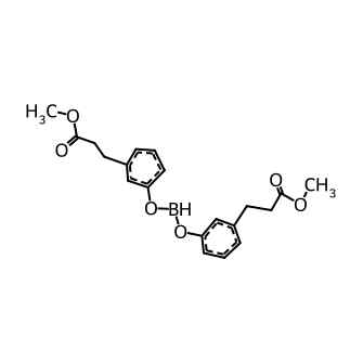 COC(=O)CCc1cccc(OBOc2cccc(CCC(=O)OC)c2)c1